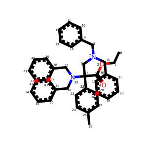 CCOC(=O)C(CN(Cc1ccccc1)Cc1ccccc1)(c1ccc(C)cc1)N(Cc1ccccc1)Cc1ccccc1